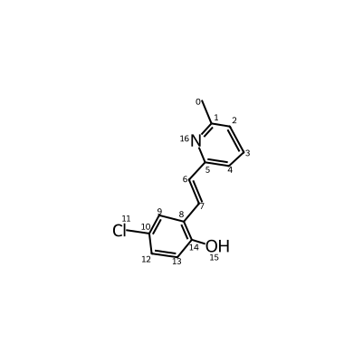 Cc1cccc(/C=C/c2cc(Cl)ccc2O)n1